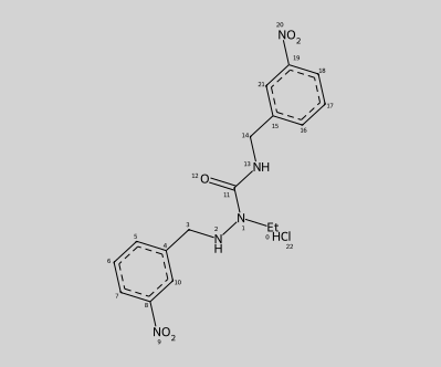 CCN(NCc1cccc([N+](=O)[O-])c1)C(=O)NCc1cccc([N+](=O)[O-])c1.Cl